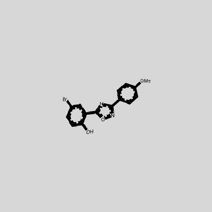 COc1ccc(-c2noc(-c3cc(Br)ccc3O)n2)cc1